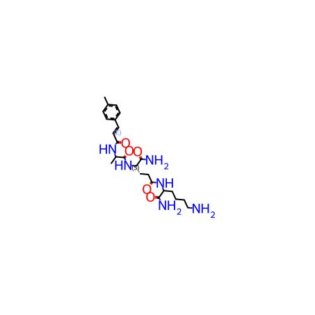 Cc1ccc(/C=C/C(=O)NC(C)C(=O)N[C@@H](CCC(=O)NC(CCCCN)C(N)=O)C(N)=O)cc1